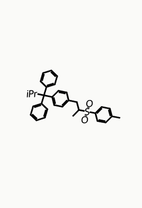 Cc1ccc(S(=O)(=O)C(C)Cc2ccc(C(c3ccccc3)(c3ccccc3)C(C)C)cc2)cc1